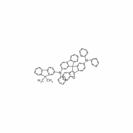 CC1(C)c2ccccc2-c2ccc(N(c3ccccc3)c3ccc4c(c3)C3(c5ccccc5-4)c4cc(N(c5ccccc5)c5ccccc5)ccc4-c4oc5ccccc5c43)cc21